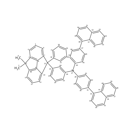 CC1(C)c2cccc3c2-c2c1cccc2C3(c1ccccc1)c1cccc(N(c2ccc(-c3cccc4ccccc34)cc2)c2ccc(-c3cccc4ccccc34)cc2)c1